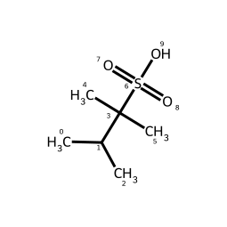 CC(C)C(C)(C)S(=O)(=O)O